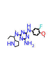 CCC(C1CCCN1)N(C)c1nc(N)nc(Nc2ccc(OC)c(F)c2)n1